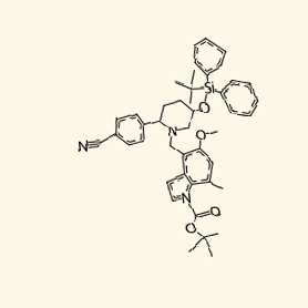 COc1cc(C)c2c(ccn2C(=O)OC(C)(C)C)c1CN1CC(O[Si](c2ccccc2)(c2ccccc2)C(C)(C)C)CCC1c1ccc(C#N)cc1